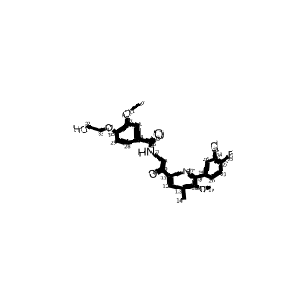 COc1cc(C(=O)NCC(=O)c2cc(C)c(OC)c(-c3ccc(F)c(Cl)c3)n2)ccc1OCCO